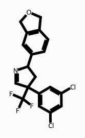 FC(F)(F)C1(c2cc(Cl)cc(Cl)c2)C=NC(c2ccc3c(c2)COC3)C1